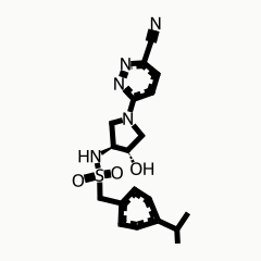 CC(C)c1ccc(CS(=O)(=O)N[C@H]2CN(c3ccc(C#N)nn3)C[C@@H]2O)cc1